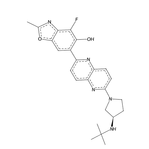 Cc1nc2c(F)c(O)c(-c3ccc4nc(N5CC[C@@H](NC(C)(C)C)C5)ccc4n3)cc2o1